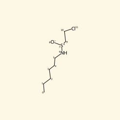 CCCCCCN[S+]([O-])CCCl